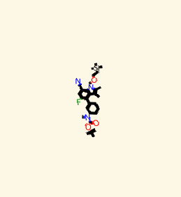 Cc1c(C)n(COCC[Si](C)(C)C)c2c(C#N)cc(F)c(C3=C[C@@H](N(C)C(=O)OC(C)(C)C)CCC3)c12